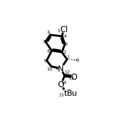 C[C@H]1c2cc(Cl)ccc2CCN1C(=O)OC(C)(C)C